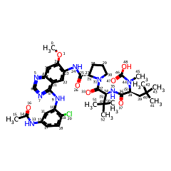 COc1cc2ncnc(Nc3cc(NC(C)=O)ccc3Cl)c2cc1NC(=O)[C@@H]1CCCN1C(=O)[C@@H](NC(=O)[C@H](CC(C)(C)C)N(C)C(=O)O)C(C)(C)C